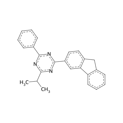 CC(C)c1nc(-c2ccccc2)nc(-c2ccc3c(c2)-c2ccccc2C3)n1